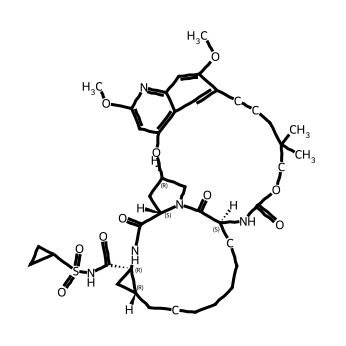 COc1cc2c3cc(c(OC)cc3n1)CCCC(C)(C)COC(=O)N[C@H]1CCCCCCC[C@@H]3C[C@@]3(C(=O)NS(=O)(=O)C3CC3)NC(=O)[C@@H]3C[C@H](CN3C1=O)O2